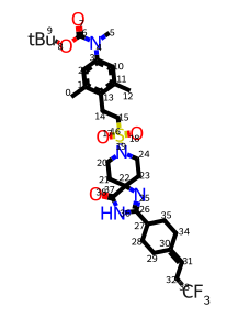 Cc1cc(N(C)C(=O)OC(C)(C)C)cc(C)c1CCS(=O)(=O)N1CCC2(CC1)N=C(C1CCC(=CCC(F)(F)F)CC1)NC2=O